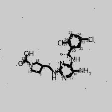 C[C@@H](Nc1nc(NCC2CCN(C(=O)O)C2)ncc1N)c1cc(Cl)ccc1Cl